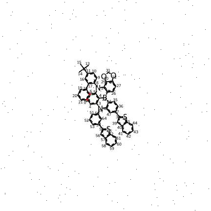 Cc1cc2c3c(c1)N(c1ccc(C(C)(C)C)cc1-c1ccccc1)c1c(ccc4c1OCO4)B3c1ccc(-c3cc4ccccc4s3)cc1N2c1cccc(-c2cc3ccccc3s2)c1